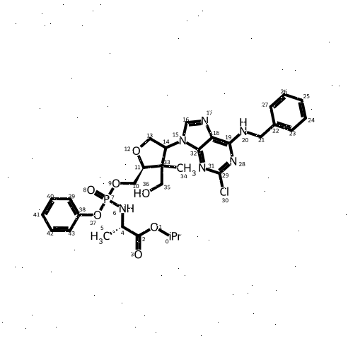 CC(C)OC(=O)[C@H](C)NP(=O)(OC[C@H]1OCC(n2cnc3c(NCc4ccccc4)nc(Cl)nc32)C1(C)CO)Oc1ccccc1